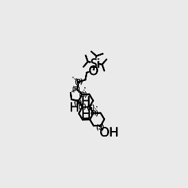 CC(C)[Si](OCC[C@@H](C)[C@H]1CC[C@H]2[C@@H]3CC=C4C[C@@H](O)CC[C@]4(C)[C@H]3CC[C@]12C)(C(C)C)C(C)C